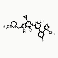 C[C@H]1CCCN(Cc2cc3c(C4CC4)cn(-c4cc(-c5ccc(F)cc5-c5cncn5C)cc(Cl)n4)c(=O)c3[nH]2)C1